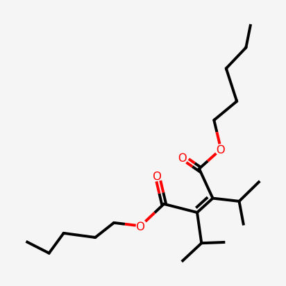 CCCCCOC(=O)/C(=C(\C(=O)OCCCCC)C(C)C)C(C)C